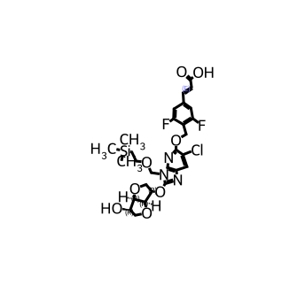 C[Si](C)(C)CCOCn1c(O[C@@H]2CO[C@H]3[C@@H]2OC[C@H]3O)nc2cc(Cl)c(OCc3c(F)cc(/C=C/C(=O)O)cc3F)nc21